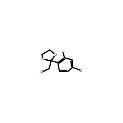 ClCC1(c2ccc(Cl)cc2Cl)OCCO1